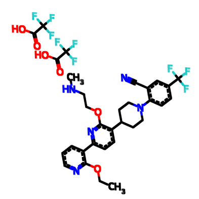 CCOc1ncccc1-c1ccc(C2CCN(c3ccc(C(F)(F)F)cc3C#N)CC2)c(OCCNC)n1.O=C(O)C(F)(F)F.O=C(O)C(F)(F)F